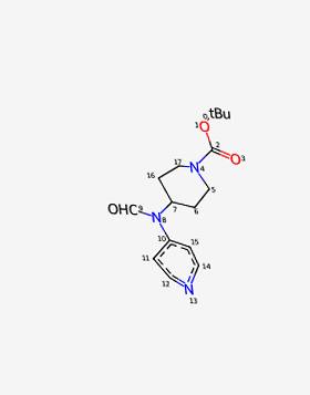 CC(C)(C)OC(=O)N1CCC(N(C=O)c2ccncc2)CC1